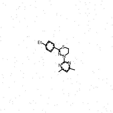 CCc1ccc(C2=NN(c3nc(C)cc(C)n3)CCS2)cc1